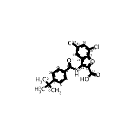 CC(C)(C)c1ccc(C(=O)Nc2c(C(=O)O)oc3c(Cl)cc(Cl)cc23)cc1